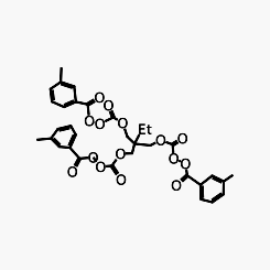 CCC(COC(=O)OOC(=O)c1cccc(C)c1)(COC(=O)OOC(=O)c1cccc(C)c1)COC(=O)OOC(=O)c1cccc(C)c1